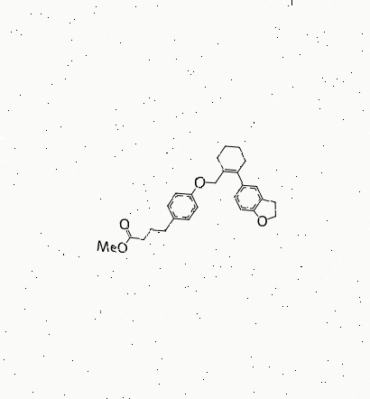 COC(=O)CCCc1ccc(OCC2=C(c3ccc4c(c3)CCO4)CCCC2)cc1